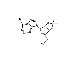 CC1(C)OC2C(CO)=CC(n3cnc4c(N)ncnc43)C2O1